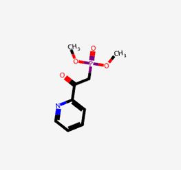 COP(=O)(CC(=O)c1ccccn1)OC